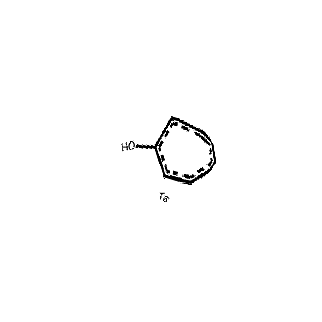 Oc1ccccc1.[Ta]